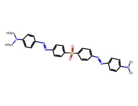 CCCCCCN(CCCCCC)c1ccc(N=Nc2ccc(S(=O)(=O)c3ccc(N=Nc4ccc(N(CC)CC)cc4)cc3)cc2)cc1